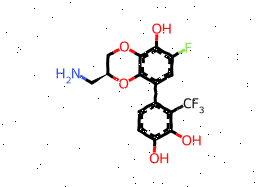 NC[C@H]1COc2c(O)c(F)cc(-c3ccc(O)c(O)c3C(F)(F)F)c2O1